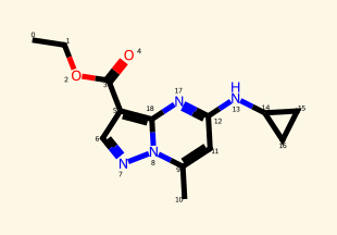 CCOC(=O)c1cnn2c(C)cc(NC3CC3)nc12